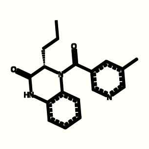 CCC[C@H]1C(=O)Nc2ccccc2N1C(=O)c1cncc(C)c1